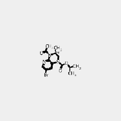 CC(=O)N1c2ncc(Br)cc2N(C(=O)OC(C)C)C[C@@H]1C